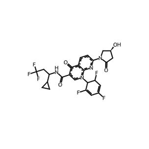 O=C(NC(CC(F)(F)F)C1CC1)c1cn(C2C(F)=CC(F)=CC2F)c2nc(N3C[C@@H](O)CC3=O)ccc2c1=O